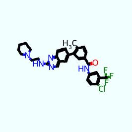 Cc1ccc(C(=O)Nc2ccc(Cl)c(C(F)(F)F)c2)cc1-c1ccc2nc(NCCN3CCCCC3)ncc2c1